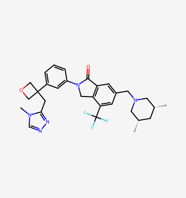 C[C@@H]1C[C@H](C)CN(Cc2cc3c(c(C(F)(F)F)c2)CN(c2cccc(C4(Cc5nncn5C)COC4)c2)C3=O)C1